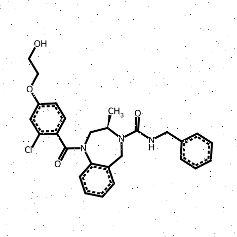 C[C@@H]1CN(C(=O)c2ccc(OCCO)cc2Cl)c2ccccc2CN1C(=O)NCc1ccccc1